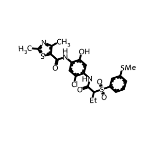 CCC(C(=O)Nc1cc(O)c(NC(=O)c2sc(C)nc2C)cc1Cl)S(=O)(=O)c1cccc(SC)c1